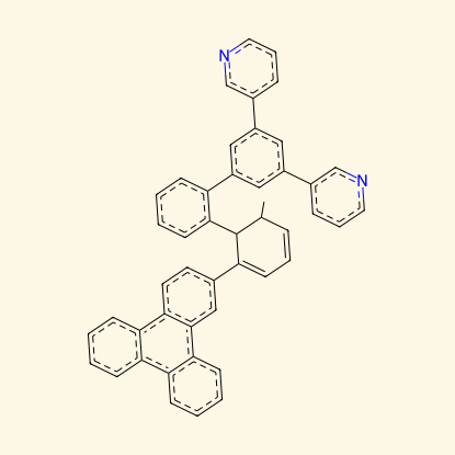 CC1C=CC=C(c2ccc3c4ccccc4c4ccccc4c3c2)C1c1ccccc1-c1cc(-c2cccnc2)cc(-c2cccnc2)c1